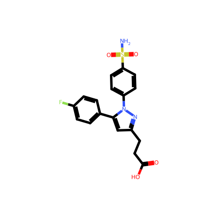 NS(=O)(=O)c1ccc(-n2nc(CCC(=O)O)cc2-c2ccc(F)cc2)cc1